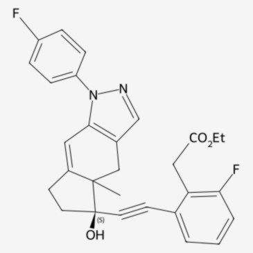 CCOC(=O)Cc1c(F)cccc1C#C[C@]1(O)CCC2=Cc3c(cnn3-c3ccc(F)cc3)CC21C